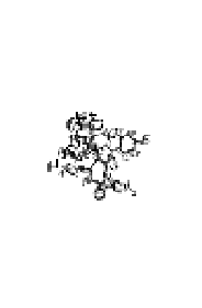 CCS(=O)(=O)Cc1ccc(C(=O)c2ccc(F)cc2Cl)c(-c2cn(C)c(=O)cc2[C@H](C)N[S@@+]([O-])C(C)(C)C)c1